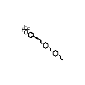 CCC[C@H]1CC[C@H](CC[C@H]2CC[C@H](C=CC#Cc3ccc(OC(F)(F)F)cc3)CC2)CC1